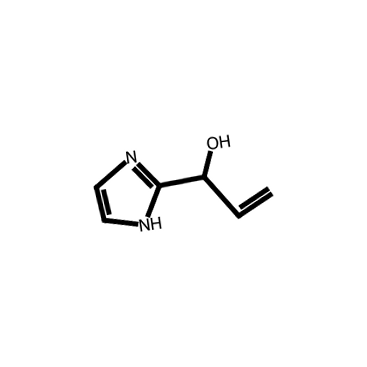 C=CC(O)c1ncc[nH]1